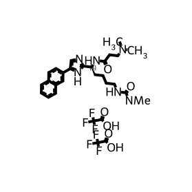 CNC(=O)NCCCC[C@H](NC(=O)CCN(C)C)c1ncc(-c2ccc3ccccc3c2)[nH]1.O=C(O)C(F)(F)F.O=C(O)C(F)(F)F